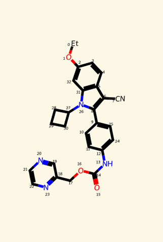 CCOc1ccc2c(C#N)c(-c3ccc(NC(=O)OCc4cnccn4)cc3)n(C3CCC3)c2c1